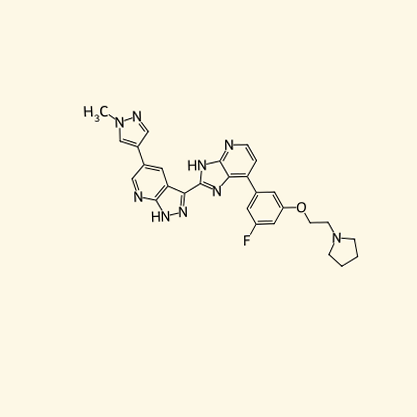 Cn1cc(-c2cnc3[nH]nc(-c4nc5c(-c6cc(F)cc(OCCN7CCCC7)c6)ccnc5[nH]4)c3c2)cn1